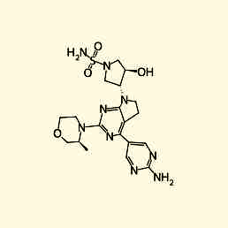 C[C@H]1COCCN1c1nc(-c2cnc(N)nc2)c2c(n1)N([C@@H]1CN(S(N)(=O)=O)C[C@H]1O)CC2